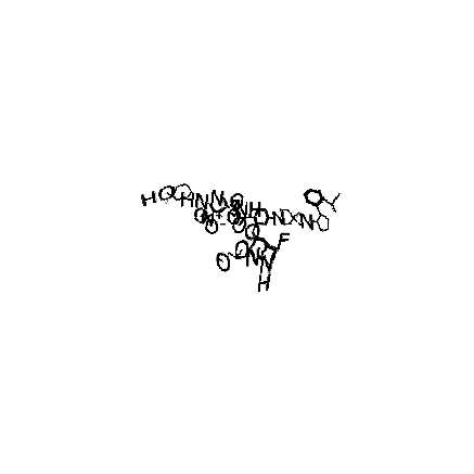 COCCOc1nc2[nH]cc(F)c2cc1Oc1cc(N2CCC3(CC2)CN([C@@H]2CCC[C@@H]2c2ccccc2C(C)C)C3)ccc1C(=O)NS(=O)(=O)c1cnc(NC[C@H]2CC[C@](C)(O)CC2)c([N+](=O)[O-])c1